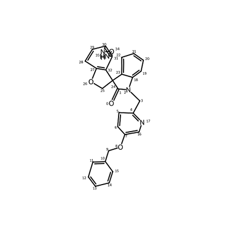 O=C1N(Cc2ccc(OCc3ccccc3)cn2)c2ccccc2C12COc1ccc3c(c12)NON3